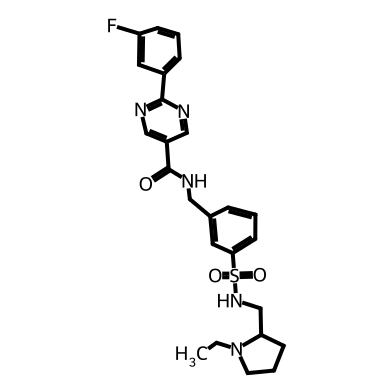 CCN1CCCC1CNS(=O)(=O)c1cccc(CNC(=O)c2cnc(-c3cccc(F)c3)nc2)c1